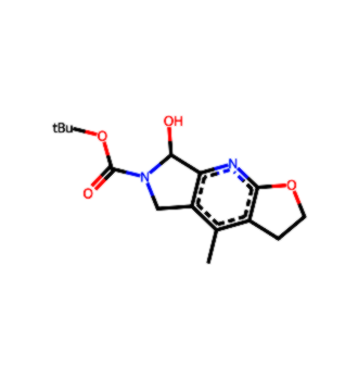 Cc1c2c(nc3c1CN(C(=O)OC(C)(C)C)C3O)OCC2